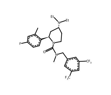 CCN(CC)[C@@H]1CCN(C(=O)N(C)Cc2cc(C(F)(F)F)cc(C(F)(F)F)c2)[C@@H](c2ccc(F)cc2C)C1